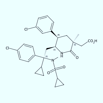 CN([C@](C[C@@H]1NC(=O)[C@](C)(CC(=O)O)C[C@@H]1c1cccc(Cl)c1)(c1ccc(Cl)cc1)C1CC1)S(=O)(=O)C1CC1